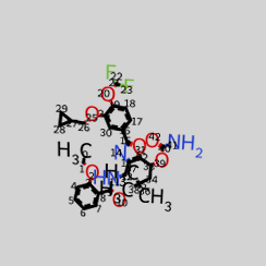 CCOc1ccccc1C(=O)NCc1nc(-c2ccc(OC(F)F)c(OCC3CC3)c2)oc1C(CC(C)(C)C)OC(N)=O